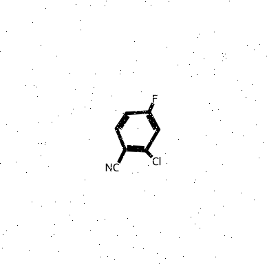 N#Cc1c[c]c(F)cc1Cl